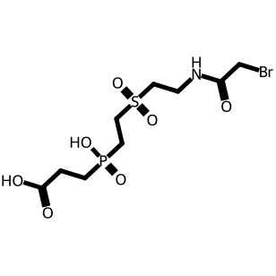 O=C(O)CCP(=O)(O)CCS(=O)(=O)CCNC(=O)CBr